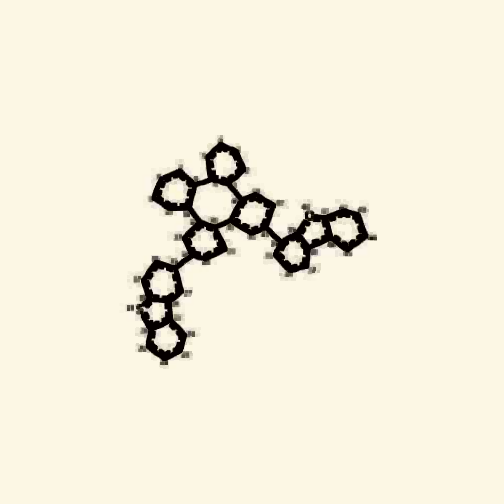 c1ccc2c(c1)-c1ccccc1-c1cc(-c3ccc4sc5ccccc5c4c3)ccc1-c1cc(-c3cccc4c3oc3ccccc34)ccc1-2